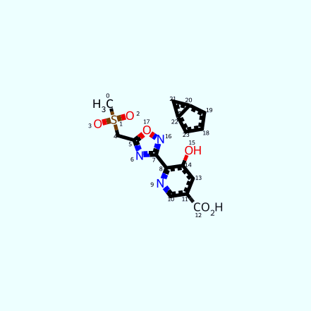 CS(=O)(=O)Cc1nc(-c2ncc(C(=O)O)cc2O)no1.c1cc2cc-2c1